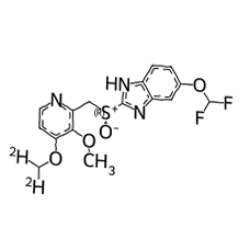 [2H]C([2H])Oc1ccnc(C[S@+]([O-])c2nc3cc(OC(F)F)ccc3[nH]2)c1OC